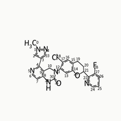 Cn1cc(-c2nccc3c2CN(c2cc4c(cc2Cl)CCC(c2ncccc2F)O4)C(=O)N3)cn1